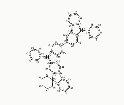 c1ccc(-n2c3ccccc3c3cc(-c4ccc5c(c4)c4cc6c(cc4n5-c4ccccc4)C4(CCCCC4)c4ccccc4-6)ccc32)cc1